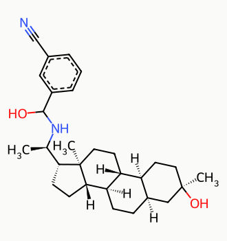 C[C@@H](NC(O)c1cccc(C#N)c1)[C@H]1CC[C@H]2[C@@H]3CC[C@@H]4C[C@](C)(O)CC[C@@H]4[C@H]3CC[C@]12C